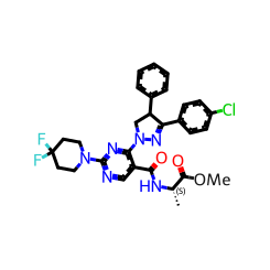 COC(=O)[C@H](C)NC(=O)c1cnc(N2CCC(F)(F)CC2)nc1N1CC(c2ccccc2)C(c2ccc(Cl)cc2)=N1